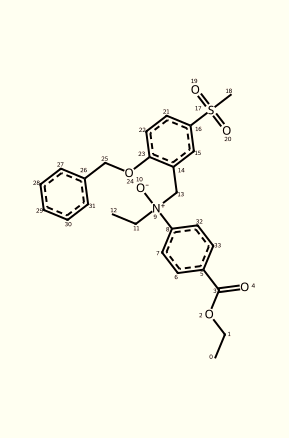 CCOC(=O)c1ccc([N+]([O-])(CC)Cc2cc(S(C)(=O)=O)ccc2OCc2ccccc2)cc1